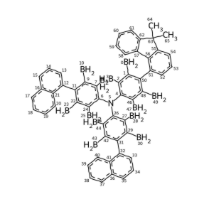 Bc1c(B)c(N(c2c(B)c(B)c(-c3cccc4ccccc34)c(B)c2B)c2c(B)c(B)c(-c3cccc4ccccc34)c(B)c2B)c(B)c(B)c1-c1cccc2c1-c1ccccc1C2(C)C